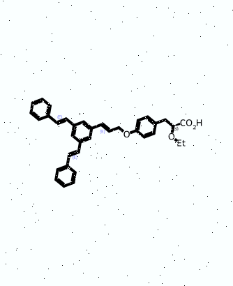 CCO[C@@H](Cc1ccc(OC/C=C/c2cc(/C=C/c3ccccc3)cc(/C=C/c3ccccc3)c2)cc1)C(=O)O